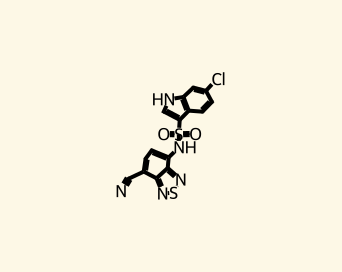 N#Cc1ccc(NS(=O)(=O)c2c[nH]c3cc(Cl)ccc23)c2nsnc12